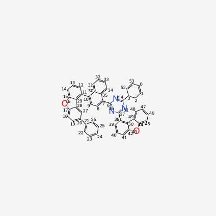 C1=CCC(c2nc(-c3ccc(-c4cccc5oc6ccc(-c7ccccc7)cc6c45)c4ccccc34)nc(-c3cccc4oc5ccccc5c34)n2)C=C1